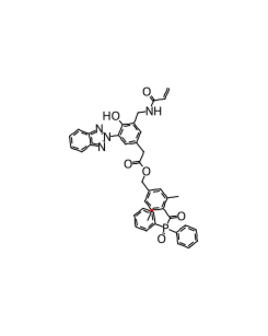 C=CC(=O)NCc1cc(CC(=O)OCc2cc(C)c(C(=O)P(=O)(c3ccccc3)c3ccccc3)c(C)c2)cc(-n2nc3ccccc3n2)c1O